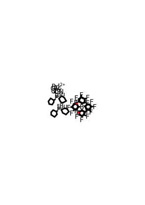 CC#N.CC(=O)[O-].CC(=O)[O-].CC(C)(C)P(C1CCCCC1)C1CCCCC1.CC(C)(C)P(C1CCCCC1)C1CCCCC1.Fc1c(F)c(F)c([B-](c2c(F)c(F)c(F)c(F)c2F)(c2c(F)c(F)c(F)c(F)c2F)c2c(F)c(F)c(F)c(F)c2F)c(F)c1F.[Pd+2]